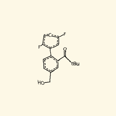 CC(C)(C)C(=O)c1cc(CO)ccc1-c1cc(F)ccc1F